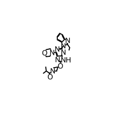 CCc1nc2ccccc2n1-c1nc(N2CCOCC2)c2nc(OC3CN(C(=O)C(C)C)C3)[nH]c2n1